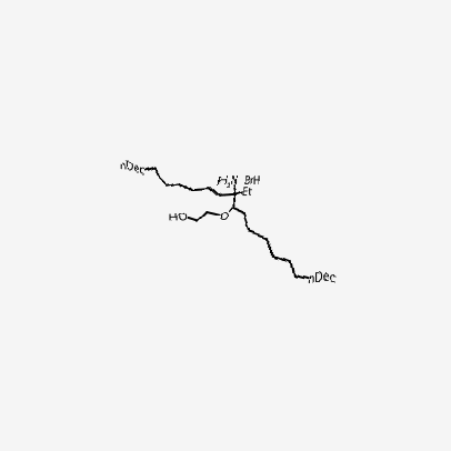 Br.CCCCCCCCCCCCCCCCC(OCCO)C(N)(CC)CCCCCCCCCCCCCCCC